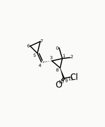 CC1(C)[C@@H](C=C2CC2)[C@@H]1C(=O)Cl